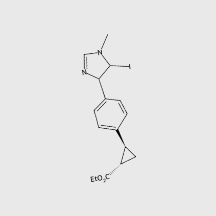 CCOC(=O)[C@H]1C[C@@H]1c1ccc(C2N=CN(C)C2I)cc1